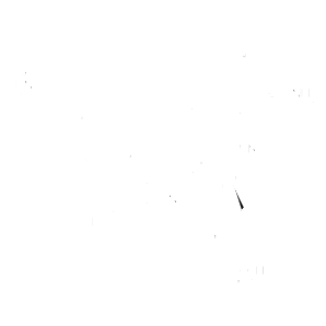 CCCC[C@H](N)C(=O)N[C@@H](CCC(=O)O)C(=O)N[C@@H](CCCCN)C(=O)O